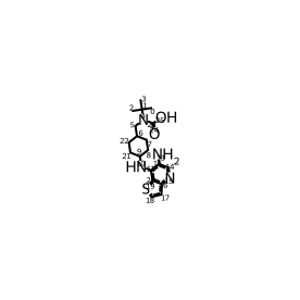 CC(C)(C)N(CC1CCC(Nc2c(N)cnc3ccsc23)CC1)C(=O)O